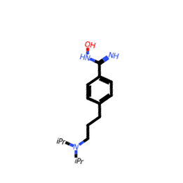 CC(C)N(CCCc1ccc(C(=N)NO)cc1)C(C)C